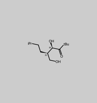 CC(C)CC[C@H](CO)[C@@H](O)C(=O)C(C)(C)C